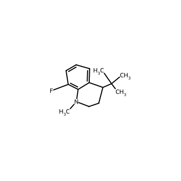 CN1CCC(C(C)(C)C)c2cccc(F)c21